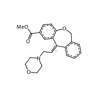 COC(=O)c1ccc2c(c1)/C(=C\CN1CCOCC1)c1ccccc1CO2